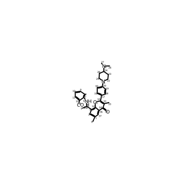 Cc1cc(C(C)Nc2ccccc2C(=O)O)c2oc(-c3ccc(N4CCC(N(C)C)CC4)cc3)c(C)c(=O)c2c1